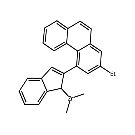 CCc1cc(C2=Cc3ccccc3[CH]2[Zr]([CH3])[CH3])c2c(ccc3ccccc32)c1